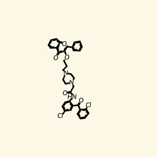 O=C(CN1CCN(CCCOc2c(-c3ccccc3)oc3ccccc3c2=O)CC1)Nc1ccc(Cl)cc1C(=O)c1ccccc1Cl